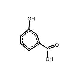 O=S(O)c1cc[c]c(O)c1